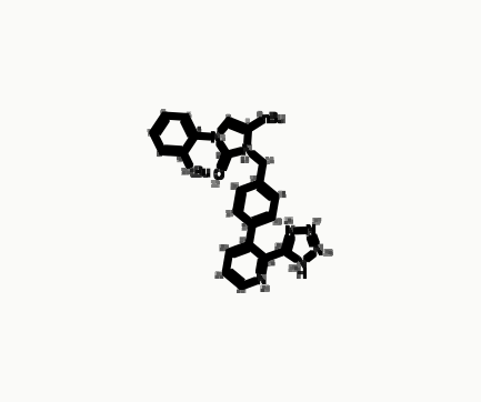 CCCCc1cn(-c2ccccc2C(C)(C)C)c(=O)n1Cc1ccc(-c2cccnc2-c2nnn[nH]2)cc1